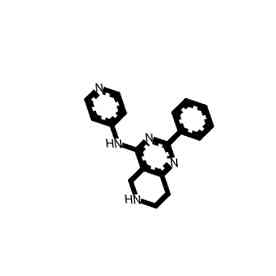 c1ccc(-c2nc3c(c(Nc4ccncc4)n2)CNCC3)cc1